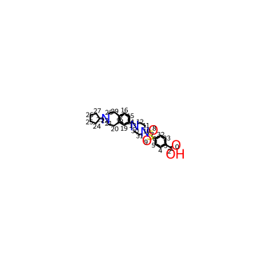 O=C(O)c1ccc(S(=O)(=O)N2CCN(c3ccc4c(c3)CCN(C3CCCC3)CC4)CC2)cc1